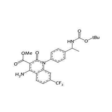 COC(=O)c1c(N)c2ccc(C(F)(F)F)cc2n(-c2ccc(C(C)NC(=O)OC(C)(C)C)cc2)c1=O